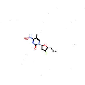 CC(=O)OC[C@H]1O[C@@H](n2cc(C)c(NO)nc2=O)C[C@@H]1F